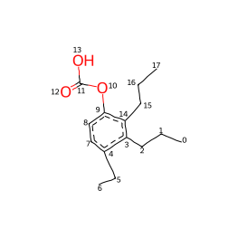 CCCc1c(CC)ccc(OC(=O)O)c1CCC